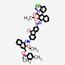 CCOc1c(CON(CC)c2ccc(C)cc2)cc2ccccc2c1N=Nc1ccc2c(c1)C(=O)c1cc(N=Nc3c(OCC)c(C(=O)N(CC)c4ccccc4Cl)cc4ccccc34)ccc1-2